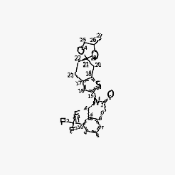 CC(=O)N(Cc1ccccc1C(F)(F)F)c1cc2c(s1)CC1(CC2)OCC(C)O1